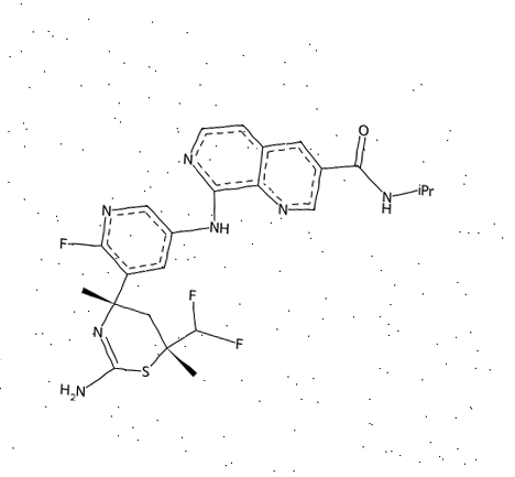 CC(C)NC(=O)c1cnc2c(Nc3cnc(F)c([C@]4(C)C[C@](C)(C(F)F)SC(N)=N4)c3)nccc2c1